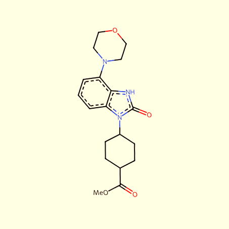 COC(=O)C1CCC(n2c(=O)[nH]c3c(N4CCOCC4)cccc32)CC1